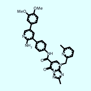 COc1ccc(-c2cnc(N)c(-c3ccc(NC(=O)c4cn(Cc5cccc(C)n5)c5nc(C)nn5c4=O)cc3)c2)cc1OC